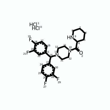 Cl.Cl.O=C(C1CCCCN1)N1CCN(C(c2ccc(F)c(F)c2)c2ccc(F)c(F)c2)CC1